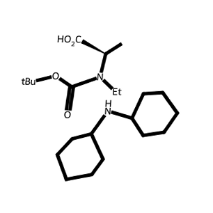 C1CCC(NC2CCCCC2)CC1.CCN(C(=O)OC(C)(C)C)[C@H](C)C(=O)O